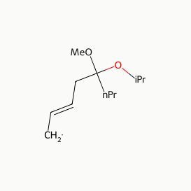 [CH2]/C=C/CC(CCC)(OC)OC(C)C